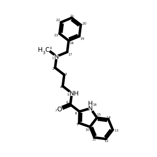 CN(CCCNC(=O)c1cc2ccccc2[nH]1)Cc1ccccc1